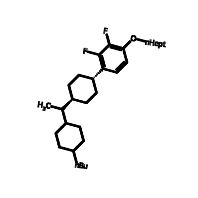 CCCCCCCOc1ccc([C@H]2CC[C@H](C(C)C3CCC(CCCC)CC3)CC2)c(F)c1F